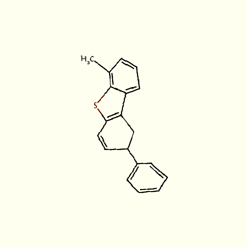 Cc1cccc2c3c(sc12)C=CC(c1ccccc1)C3